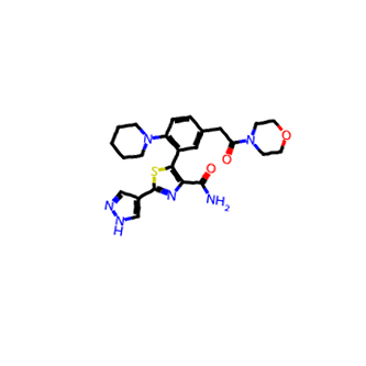 NC(=O)c1nc(-c2cn[nH]c2)sc1-c1cc(CC(=O)N2CCOCC2)ccc1N1CCCCC1